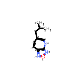 CC(C)CC1=C=Nc2nonc2C=C1